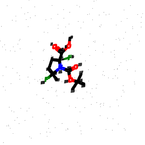 COC(=O)[C@]1(F)CC[C@@](C)(F)N1C(=O)OC(C)(C)C